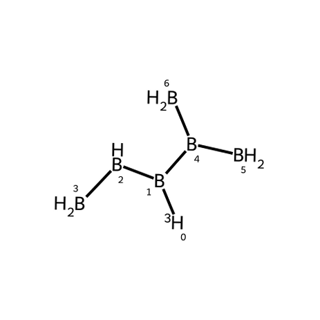 [3H]B(BB)B(B)B